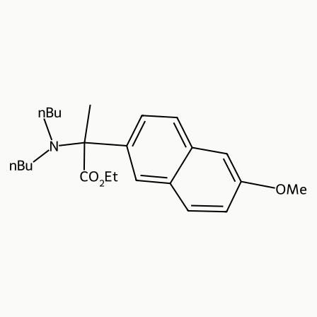 CCCCN(CCCC)C(C)(C(=O)OCC)c1ccc2cc(OC)ccc2c1